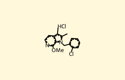 COc1nccc2c(C)c(C)n(Cc3ccccc3Cl)c12.Cl